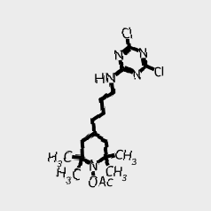 CC(=O)ON1C(C)(C)CC(CCCCNc2nc(Cl)nc(Cl)n2)CC1(C)C